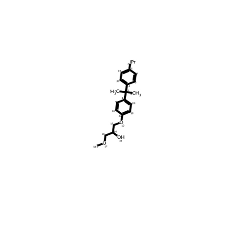 CC(C)c1ccc(C(C)(C)c2ccc(OCC(O)COI)cc2)cc1